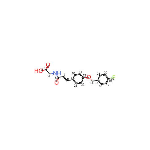 O=C(O)CNC(=O)/C=C/c1ccc(OCc2ccc(F)cc2)cc1